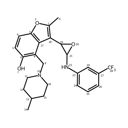 Cc1oc2ccc(O)c(CN3CCC(C)CC3)c2c1C1OC1Nc1cccc(C(F)(F)F)c1